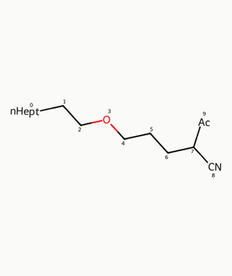 CCCCCCCCCOCCCC(C#N)C(C)=O